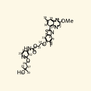 COc1cnc2c(-c3nc4cc(F)c(OCCOC(=O)Nc5ccnc(OCCC(C)(C)O)c5)cc4s3)cc(C)cc2n1